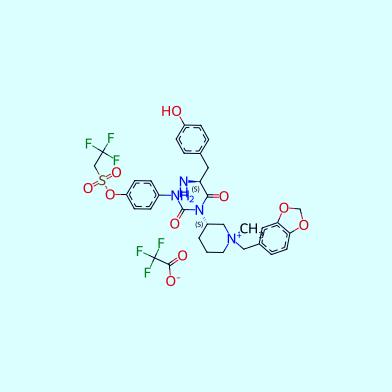 C[N+]1(Cc2ccc3c(c2)OCO3)CCC[C@H](N(C(=O)Nc2ccc(OS(=O)(=O)CC(F)(F)F)cc2)C(=O)[C@@H](N)Cc2ccc(O)cc2)C1.O=C([O-])C(F)(F)F